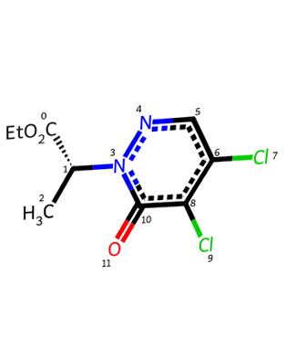 CCOC(=O)[C@@H](C)n1ncc(Cl)c(Cl)c1=O